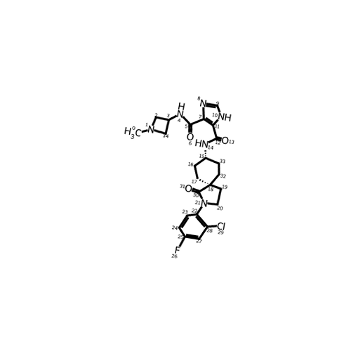 CN1CC(NC(=O)c2nc[nH]c2C(=O)N[C@H]2CC[C@@]3(CCN(c4ccc(F)cc4Cl)C3=O)CC2)C1